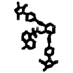 CC1=CC(=O)N(c2ccc(C#Cc3cncc(C#Cc4ccc(N5C(=O)C=C(C)C5=O)cc4)c3CNS(=O)(=O)c3cccc4c(C)cccc34)cc2)C1=O